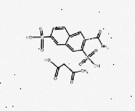 CC(=O)CC(=O)O.NC(=O)c1cc2ccc(S(=O)(=O)O)cc2cc1S(=O)(=O)O